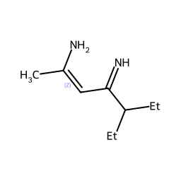 CCC(CC)C(=N)/C=C(/C)N